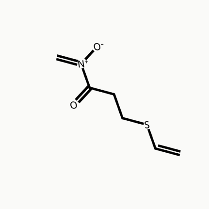 C=CSCCC(=O)[N+](=C)[O-]